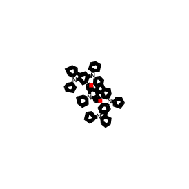 C1=CCCC(N(c2ccc3c(c2)C2(c4cc(N(c5ccccc5)c5ccc6c(c5)c5c(n6-c6ccccc6)C=CCC5)ccc4-3)c3ccccc3N(c3ccccc3)c3ccccc32)c2ccc3c(c2)c2ccccc2n3-c2ccccc2)=C1